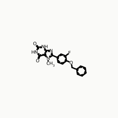 Cn1c(-c2ccc(OCc3ccccc3)c(F)c2)nc2[nH]c(=O)[nH]c(=O)c21